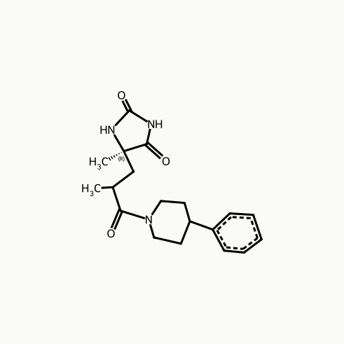 CC(C[C@@]1(C)NC(=O)NC1=O)C(=O)N1CCC(c2ccccc2)CC1